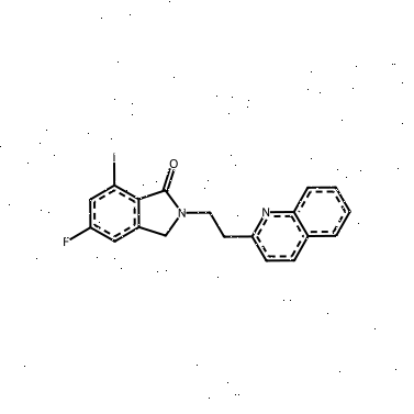 O=C1c2c(I)cc(F)cc2CN1CCc1ccc2ccccc2n1